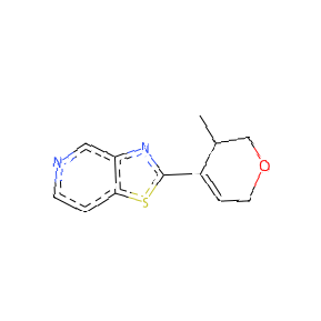 CC1COCC=C1c1nc2cnccc2s1